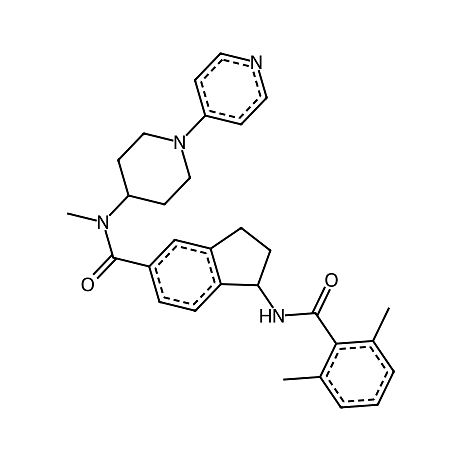 Cc1cccc(C)c1C(=O)NC1CCc2cc(C(=O)N(C)C3CCN(c4ccncc4)CC3)ccc21